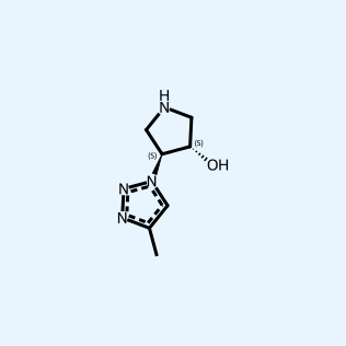 Cc1cn([C@H]2CNC[C@@H]2O)nn1